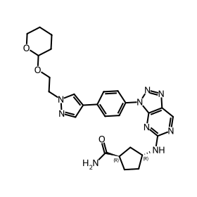 NC(=O)[C@@H]1CC[C@@H](Nc2ncc3nnn(-c4ccc(-c5cnn(CCOC6CCCCO6)c5)cc4)c3n2)C1